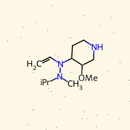 C=CN(C1CCNCC1OC)N(C)C(C)C